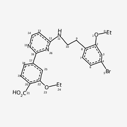 CCOc1cc(Br)ccc1CCNc1ccnc(-c2ccc(C(=O)O)c(OCC)c2)n1